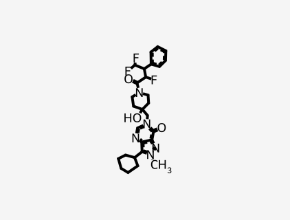 Cn1nc2c(=O)n(CC3(O)CCN(C(=O)C(F)C(c4ccccc4)C(F)F)CC3)cnc2c1C1CCCCC1